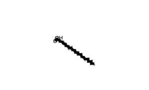 CCCCCCCCCCCCCCCCCCC=CCCCC(=O)O